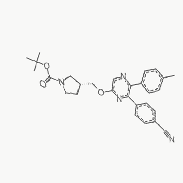 Cc1ccc(-c2ncc(OC[C@@H]3CCN(C(=O)OC(C)(C)C)C3)nc2-c2ccc(C#N)cc2)cc1